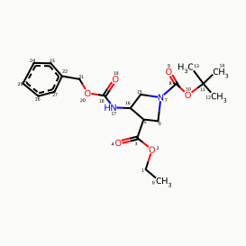 CCOC(=O)C1CN(C(=O)OC(C)(C)C)CC1NC(=O)OCc1ccccc1